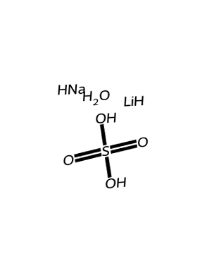 O.O=S(=O)(O)O.[LiH].[NaH]